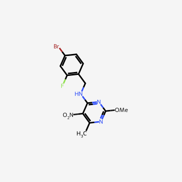 COc1nc(C)c([N+](=O)[O-])c(NCc2ccc(Br)cc2F)n1